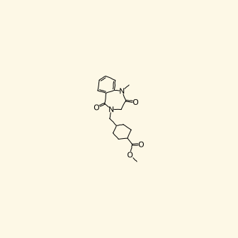 COC(=O)C1CCC(CN2CC(=O)N(C)c3ccccc3C2=O)CC1